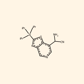 CC(C)[Si](c1nc2cncc(C(N)C#N)c2s1)(C(C)C)C(C)C